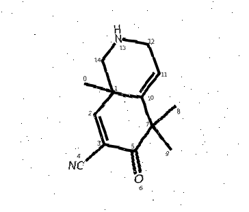 CC12C=C(C#N)C(=O)C(C)(C)C1=CCNC2